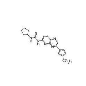 O=C(O)c1ccc(-c2cnc3ccc(NC(=S)NC4CCCC4)nc3n2)s1